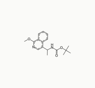 COc1ncc(C(C)NC(=O)OC(C)(C)C)c2ccccc12